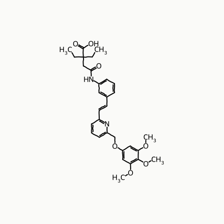 CCC(CC)(CC(=O)Nc1cccc(C=Cc2cccc(COc3cc(OC)c(OC)c(OC)c3)n2)c1)C(=O)O